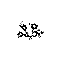 Cc1cc(F)cc(C)c1N1CNC(=O)C12CCN(C(=O)c1cc(-c3cccnc3)n(-c3ccc(C(F)(F)F)c(F)c3)n1)CC2